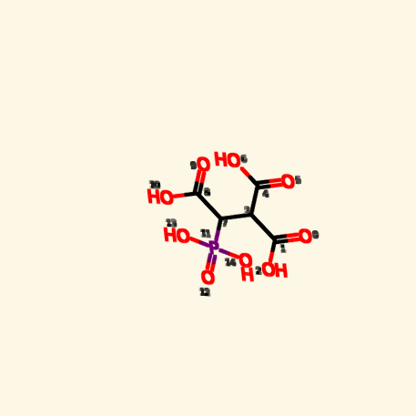 O=C(O)C(C(=O)O)C(C(=O)O)P(=O)(O)O